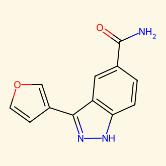 NC(=O)c1ccc2[nH]nc(-c3ccoc3)c2c1